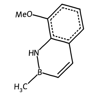 COc1cccc2c1NB(C)C=C2